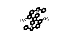 Cc1cccc(-c2c3ccc(-n4c(-c5ccccc5)ccc4-c4ccccc4)cc3c(-c3cccc(C)c3)c3ccc(-n4c(-c5ccccc5)ccc4-c4ccccc4)cc23)c1